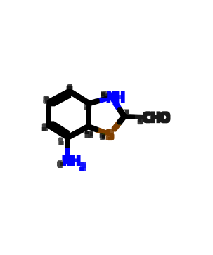 NC1=CC=CC2NC(C=O)SC12